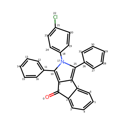 O=C1c2ccccc2-c2c1c(-c1ccccc1)n(-c1ccc(Cl)cc1)c2-c1ccccc1